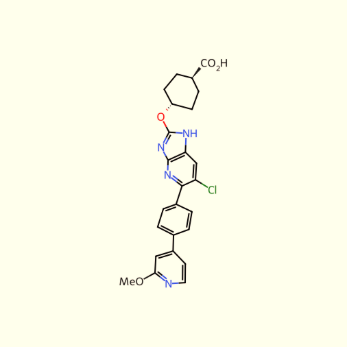 COc1cc(-c2ccc(-c3nc4nc(O[C@H]5CC[C@H](C(=O)O)CC5)[nH]c4cc3Cl)cc2)ccn1